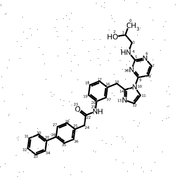 CC(O)CNc1nccc(-n2ccnc2Cc2cccc(NC(=O)Cc3ccc(-c4ccccc4)cc3)c2)n1